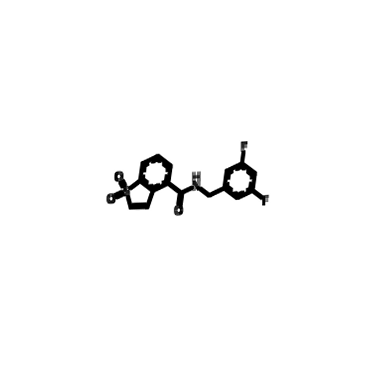 O=C(NCc1cc(F)cc(F)c1)c1cccc2c1C=CS2(=O)=O